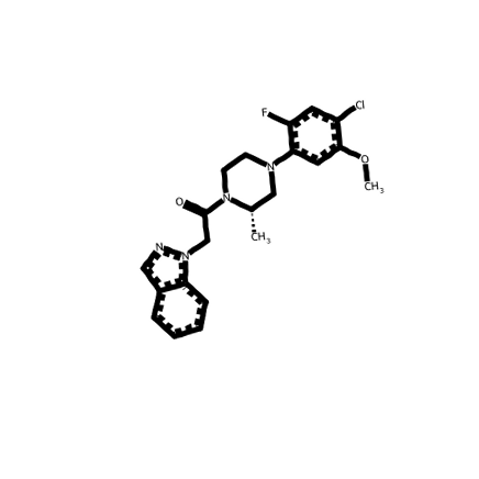 COc1cc(N2CCN(C(=O)Cn3ncc4ccccc43)[C@@H](C)C2)c(F)cc1Cl